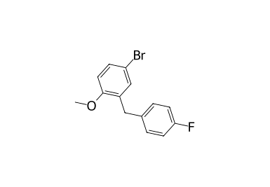 COc1ccc(Br)cc1Cc1ccc(F)cc1